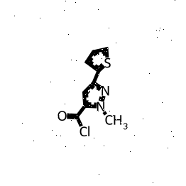 Cn1nc(-c2cccs2)cc1C(=O)Cl